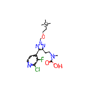 CN(CCc1nn(COCC[Si](C)(C)C)nc1-c1ccnc(Cl)c1F)C(=O)O